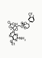 CCOc1nc(N)nc2c1ncn2[C@@H]1O[C@H](CO[P@@]2(=O)OCC[C@@H](c3cccc(C(F)(F)F)c3)O2)[C@H]2OC(=O)O[C@]21C